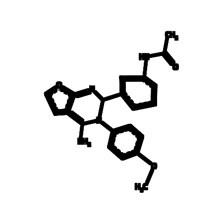 COc1ccc(N2C(N)=c3ccoc3=NC2c2cccc(NC(C)=O)c2)cc1